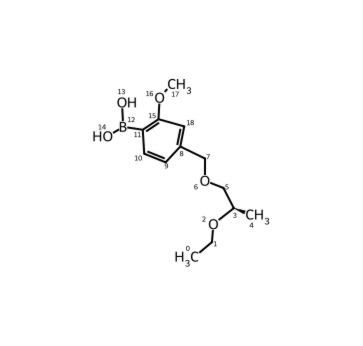 CCO[C@H](C)COCc1ccc(B(O)O)c(OC)c1